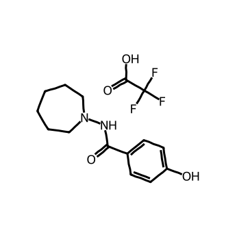 O=C(NN1CCCCCC1)c1ccc(O)cc1.O=C(O)C(F)(F)F